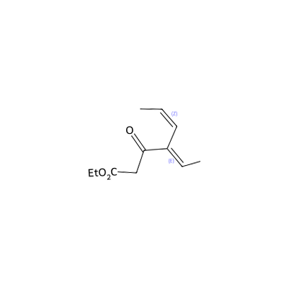 C/C=C\C(=C/C)C(=O)CC(=O)OCC